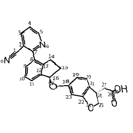 N#Cc1cccnc1-c1cccc2c1CC[C@H]2Oc1ccc2c(c1)OC[C@H]2CC(=O)O